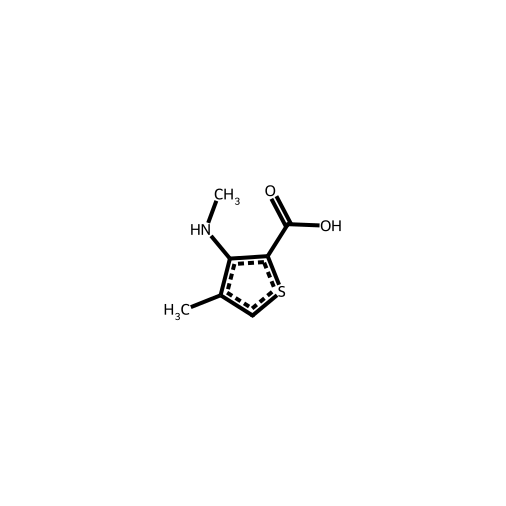 CNc1c(C)csc1C(=O)O